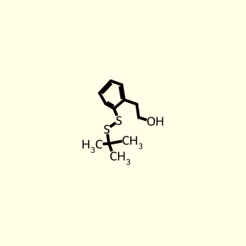 CC(C)(C)SSc1ccccc1CCO